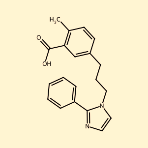 Cc1ccc(CCCn2ccnc2-c2ccccc2)cc1C(=O)O